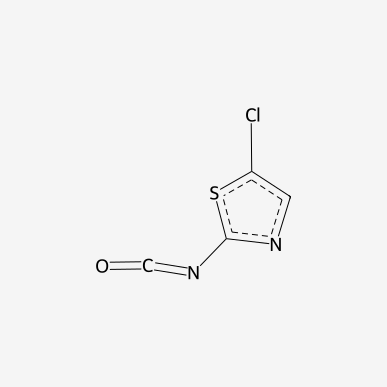 O=C=Nc1ncc(Cl)s1